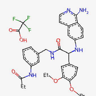 CCOc1cc(C(Nc2ccc3c(N)nccc3c2)C(=O)NCc2cccc(NC(=O)CC)c2)ccc1OC(C)C.O=C(O)C(F)(F)F